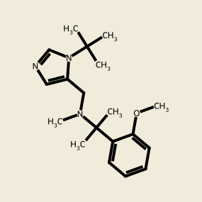 COc1ccccc1C(C)(C)N(C)Cc1cncn1C(C)(C)C